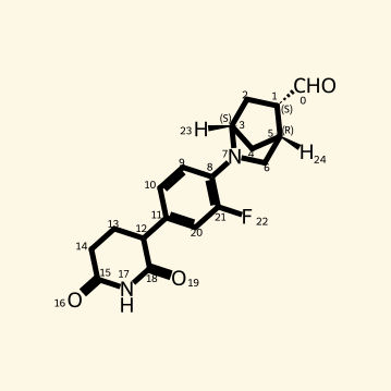 O=C[C@H]1C[C@@H]2C[C@H]1CN2c1ccc(C2CCC(=O)NC2=O)cc1F